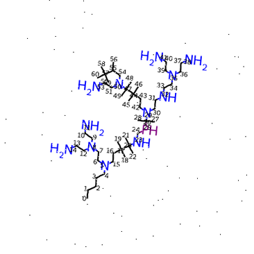 CCCCCN(CCN(CCN)CCN)CCC(C)(C)C(C)(C)NCPC(C)(C)N(CCNCCN(CCN)CCN)CCC(C)(C)C(C)(C)N(CCN)CC(C)C(C)(C)C